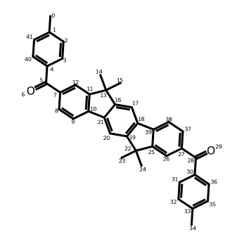 Cc1ccc(C(=O)c2ccc3c(c2)C(C)(C)c2cc4c(cc2-3)C(C)(C)c2cc(C(=O)c3ccc(C)cc3)ccc2-4)cc1